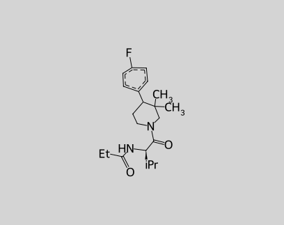 CCC(=O)N[C@@H](C(=O)N1CCC(c2ccc(F)cc2)C(C)(C)C1)C(C)C